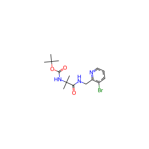 CC(C)(C)OC(=O)NC(C)(C)C(=O)NCc1ncccc1Br